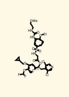 CCOc1ccc(S(=O)(=O)NCC(=O)O[C@@H](Cc2c(Cl)cncc2Cl)c2ccc(OC(F)F)c(OCC3CC3)c2)cc1NC(=O)NCCOC